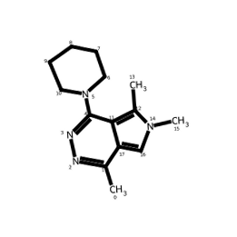 Cc1nnc(N2CCCCC2)c2c(C)n(C)cc12